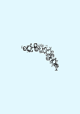 COc1ccc(C(=O)OC2CCC(CC3CCC(OC(=O)c4ccc(OC)cc4)CC3)CC2)cc1